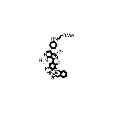 COCCN[C@H]1CC[C@H](c2cnc(N)c3c(-c4cc(F)c(NS(=O)(=O)Cc5ccccc5Cl)cc4F)nn(C(C)C)c32)CC1